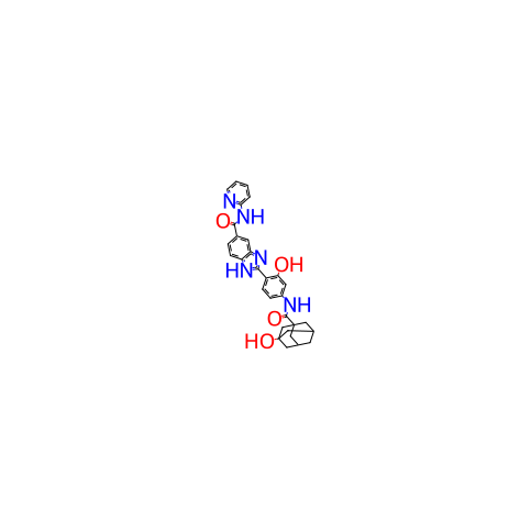 O=C(Nc1ccccn1)c1ccc2[nH]c(-c3ccc(NC(=O)C45CC6CC(CC(O)(C6)C4)C5)cc3O)nc2c1